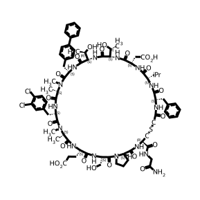 CC(C)[C@@H]1NC(=O)[C@H](Cc2ccccc2)NC(=O)CSC[C@@H](C(=O)NCC(N)=O)NC(=O)[C@@H]2CCCN2C(=O)[C@H](CO)NC(=O)[C@H](CCC(=O)O)NC(=O)[C@H](C)N(C)C(=O)[C@H](Cc2ccc(Cl)c(Cl)c2)NC(=O)[C@H](C)N(C)C(=O)[C@H](Cc2ccc(-c3ccccc3)cc2)NC(=O)[C@H]([C@@H](C)O)NC(=O)[C@H]([C@@H](C)O)NC(=O)[C@H](CC(=O)O)NC1=O